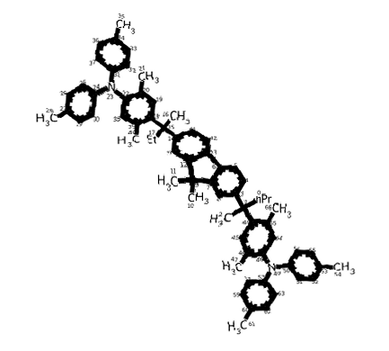 CCCC(C)(c1ccc2c(c1)C(C)(C)c1cc(C(C)(CC)c3cc(C)c(N(c4ccc(C)cc4)c4ccc(C)cc4)cc3C)ccc1-2)c1cc(C)c(N(c2ccc(C)cc2)c2ccc(C)cc2)cc1C